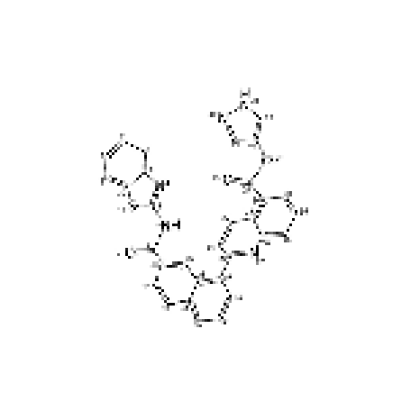 O=C(Nc1nc2ccccc2s1)c1ccc2cccc(-c3ccc4c(C(=O)Oc5cn[nH]c5)cccc4n3)c2c1